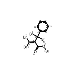 O=C(OBr)C(=C(Br)Br)C(Br)(Br)c1ccccc1